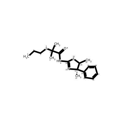 CCCSC(C)(C)C(=O)NC1=N[C@](C)(c2ccccc2)C(C)S1